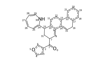 O=C(c1ccoc1)C1C=c2c(ccc3c2=CCc2ccccc2-3)C(C2=CC=CC=CN2)C1